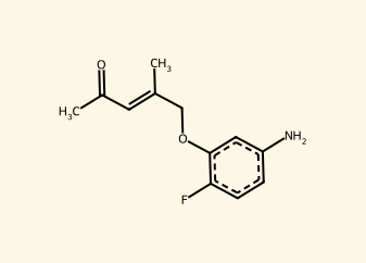 CC(=O)C=C(C)COc1cc(N)ccc1F